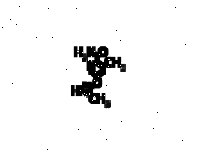 Cc1cc(O[C@@H]2CN[C@H]2C)cnc1C(N)=O